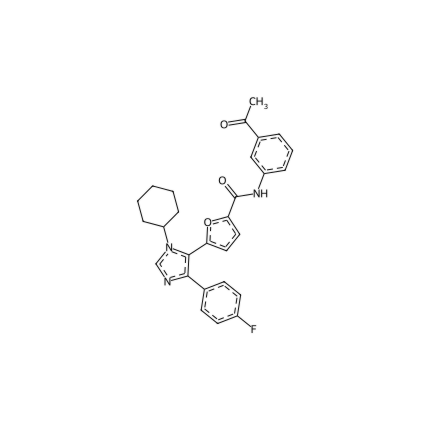 CC(=O)c1cccc(NC(=O)c2ccc(-c3c(-c4ccc(F)cc4)ncn3C3CCCCC3)o2)c1